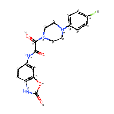 O=C(Nc1ccc2[nH]c(=O)oc2c1)C(=O)N1CCN(c2ccc(F)cc2)CC1